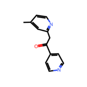 Cc1ccnc(CC(=O)c2ccncc2)c1